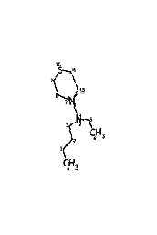 CCCCN(CC)N1CCSCC1